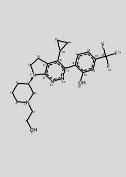 OCCN1CCC[C@@H](N2CCc3c2nnc(-c2ccc(C(F)(F)F)cc2O)c3C2CC2)C1